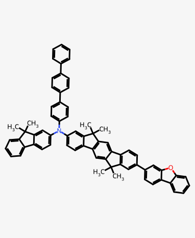 CC1(C)c2ccccc2-c2ccc(N(c3ccc(-c4ccc(-c5ccccc5)cc4)cc3)c3ccc4c(c3)C(C)(C)c3cc5c(cc3-4)C(C)(C)c3cc(-c4ccc6c(c4)oc4ccccc46)ccc3-5)cc21